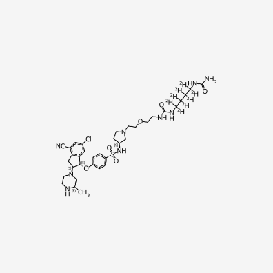 [2H]C([2H])(NC(N)=O)C([2H])([2H])C([2H])([2H])C([2H])([2H])NC(=O)NCCOCCN1CC[C@H](NS(=O)(=O)c2ccc(O[C@H]3c4cc(Cl)cc(C#N)c4C[C@@H]3N3CCN[C@H](C)C3)cc2)C1